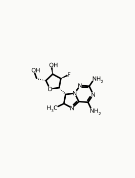 CC1N=C2C(N)=NC(N)=NN2C1[C@@H]1O[C@H](CO)[C@@H](O)[C@H]1F